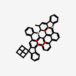 CC1C=c2c(oc3ccccc23)=CC1N(c1ccccc1C1=c2c(-c3ccccc3)cccc2=CCC1)c1ccccc1-c1ccc2c(c1)C1(c3ccccc3-2)C2CC3CC4CC1C342